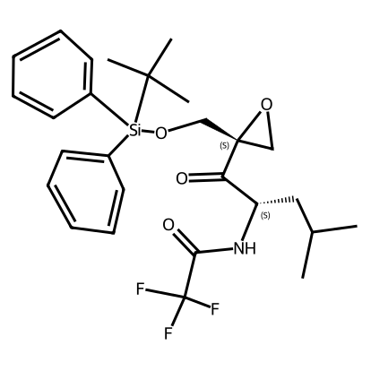 CC(C)C[C@H](NC(=O)C(F)(F)F)C(=O)[C@@]1(CO[Si](c2ccccc2)(c2ccccc2)C(C)(C)C)CO1